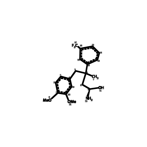 COc1ccc(CC(C)(C[C@H](N)O)c2cccc(C(F)(F)F)c2)cc1OC